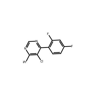 CC(C)c1ncnc(-c2ccc(F)cc2F)c1Cl